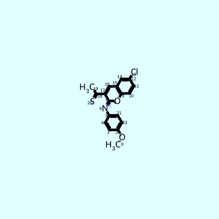 COc1ccc(/N=c2\oc3ccc(Cl)cc3cc2C(C)=S)cc1